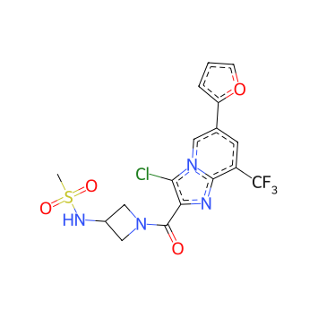 CS(=O)(=O)NC1CN(C(=O)c2nc3c(C(F)(F)F)cc(-c4ccco4)cn3c2Cl)C1